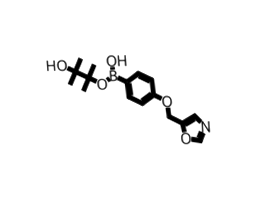 CC(C)(O)C(C)(C)OB(O)c1ccc(OCc2cnco2)cc1